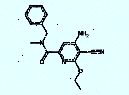 CCOc1nc(C(=O)N(C)Cc2ccccc2)cc(N)c1C#N